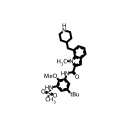 COc1c(NC(=O)c2cc3cccc(CC4CCNCC4)c3n2C)cc(C(C)(C)C)cc1NS(C)(=O)=O